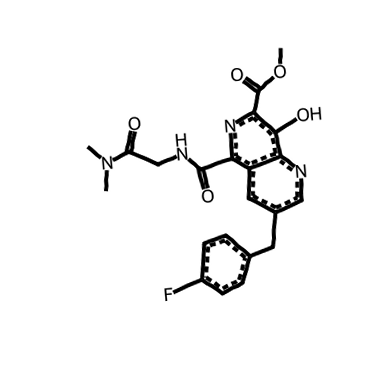 COC(=O)c1nc(C(=O)NCC(=O)N(C)C)c2cc(Cc3ccc(F)cc3)cnc2c1O